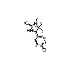 CN1C(=O)NC(c2ccc(Cl)nn2)C1(C)C